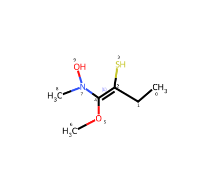 CC/C(S)=C(\OC)N(C)O